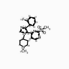 CN1CCC(n2cnc(-c3ccccc3F)c2-c2ccnc(S(C)(=O)=O)n2)CC1